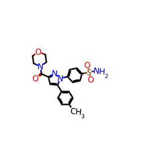 Cc1ccc(-c2cc(C(=O)N3CCOCC3)nn2-c2ccc(S(N)(=O)=O)cc2)cc1